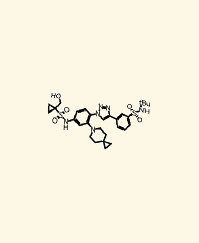 CC(C)(C)NS(=O)(=O)c1cccc(-c2cn(-c3ccc(NS(=O)(=O)C4(CO)CC4)cc3N3CCC4(CC3)CC4)nn2)c1